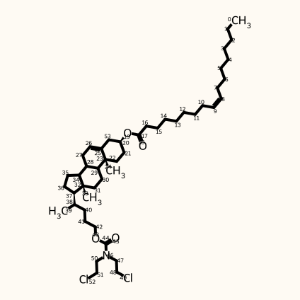 CCCCCCCC/C=C\CCCCCCCC(=O)O[C@H]1CC[C@@]2(C)C(=CCC3C2CC[C@@]2(C)C3CC[C@@H]2C(C)CCCOC(=O)N(CCCl)CCCl)C1